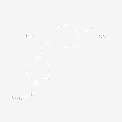 CNN=C1CCC(C(C)C2CCC(=NNC)CC2)CC1